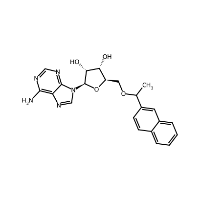 CC(OC[C@H]1O[C@@H](n2cnc3c(N)ncnc32)[C@H](O)[C@@H]1O)c1ccc2ccccc2c1